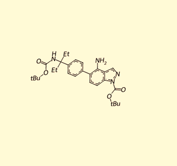 CCC(CC)(NC(=O)OC(C)(C)C)c1ccc(-c2ccc3c(cnn3C(=O)OC(C)(C)C)c2N)cc1